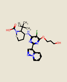 CC(C)(C)C1[C@H](Nc2nc(-c3cnn4ccccc34)nc(OCCCO)c2F)CCCN1C(=O)O